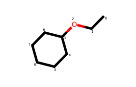 CCO[C]1CCCCC1